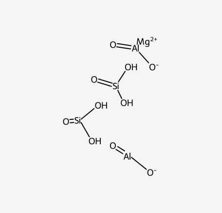 O=[Si](O)O.O=[Si](O)O.[Mg+2].[O]=[Al][O-].[O]=[Al][O-]